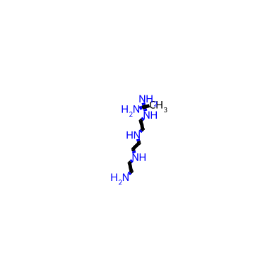 CC(N)(N)NCCNCCNCCN